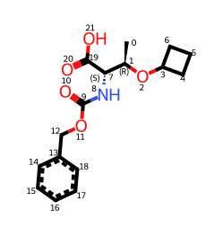 C[C@@H](OC1CCC1)[C@H](NC(=O)OCc1ccccc1)C(=O)O